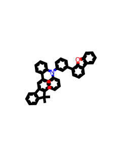 CC1(C)c2ccccc2-c2cc(-c3ccccc3N(c3ccccc3)c3cccc(-c4cccc5c4oc4ccccc45)c3)ccc21